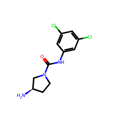 N[C@@H]1CCN(C(=O)Nc2cc(Cl)cc(Cl)c2)C1